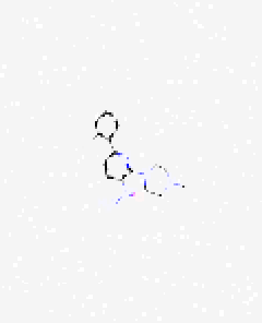 CN1CCN(c2nc(-c3ccccc3C(F)(F)F)c[c]c2[N+](N)=O)CC1